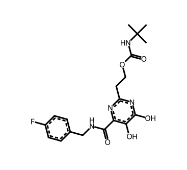 CC(C)(C)NC(=O)OCCc1nc(O)c(O)c(C(=O)NCc2ccc(F)cc2)n1